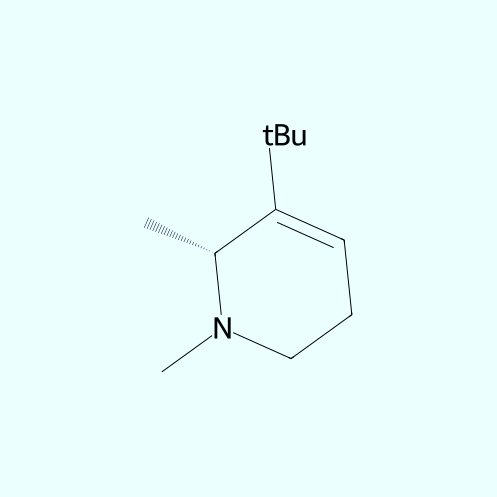 C[C@@H]1C(C(C)(C)C)=CCCN1C